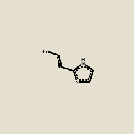 CCCCC=Cc1ncc[nH]1